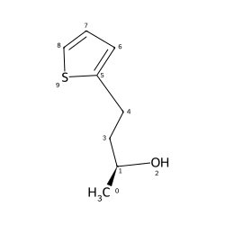 C[C@H](O)CCc1cccs1